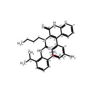 CCCCN(C(=O)Nc1c(C(C)C)cccc1C(C)C)c1c(-c2cccc(N)c2)c2cccnc2[nH]c1=O